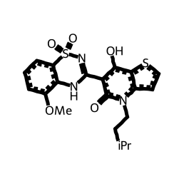 COc1cccc2c1NC(c1c(O)c3sccc3n(CCC(C)C)c1=O)=NS2(=O)=O